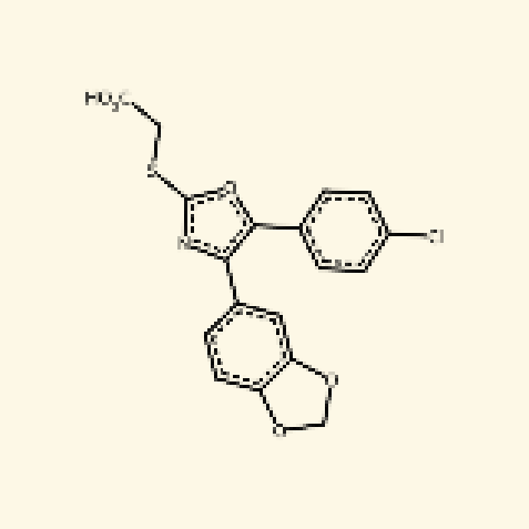 O=C(O)CSc1nc(-c2ccc3c(c2)OCO3)c(-c2ccc(Cl)cc2)o1